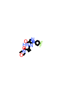 O=C(C1CCC1c1nc2c(cnn2C2CCC(F)(F)CC2)c(=O)[nH]1)N1CCOCC1